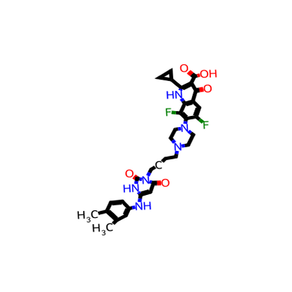 Cc1ccc(Nc2cc(=O)n(CCCCN3CCN(c4c(F)cc5c(=O)c(C(=O)O)c(C6CC6)[nH]c5c4F)CC3)c(=O)[nH]2)cc1C